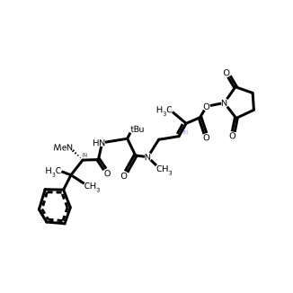 CN[C@H](C(=O)NC(C(=O)N(C)C/C=C(\C)C(=O)ON1C(=O)CCC1=O)C(C)(C)C)C(C)(C)c1ccccc1